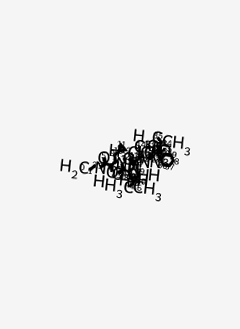 C=CCNC(=O)C(=O)C(CC1CC1)NC(=O)[C@@H]1[C@@H]2[C@H](CN1C(=O)[C@@H](NC(=O)NC1(CS(=O)(=O)C(C)C)CCCCC1)C(C)(C)C)C2(C)C